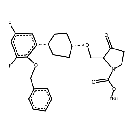 CC(C)(C)OC(=O)N1CCC(=O)C1CO[C@H]1CC[C@@H](c2cc(F)cc(F)c2OCc2ccccc2)CC1